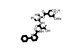 COC(=O)CC(CC(=O)O)C(=O)OB(O)[C@H](CC(C)C)NC(=O)[C@@H](NC(=O)c1cccc(-c2ccccc2)n1)[C@@H](C)O